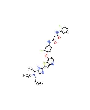 COCCN(C(=O)O)C(c1cnc(-c2cc3nccc(Oc4ccc(NC(=O)CC(=O)Nc5ccccc5F)cc4F)c3s2)n1C)C(C)(C)C